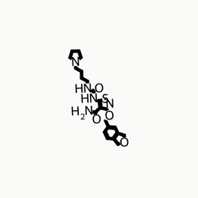 NC(=O)c1c(OCc2ccc3c(c2)COC3)nsc1NC(=O)NCCCCN1CCCC1